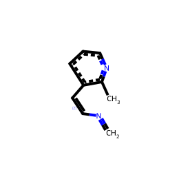 C=N/C=C\c1cccnc1C